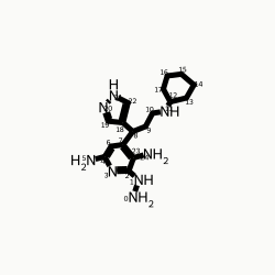 NNc1nc(N)cc(C(CCNC2CCCCC2)c2cn[nH]c2)c1N